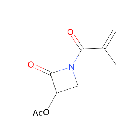 C=C(C)C(=O)N1CC(OC(C)=O)C1=O